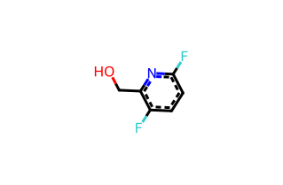 OCc1nc(F)ccc1F